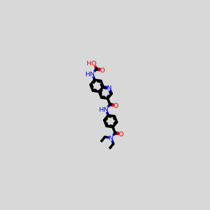 CCN(CC)C(=O)c1ccc(NC(=O)c2cnc3cc(NC(=O)O)ccc3c2)cc1